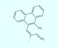 C=C/C(F)=C\c1c(C)c2ccccc2c2ccccc12